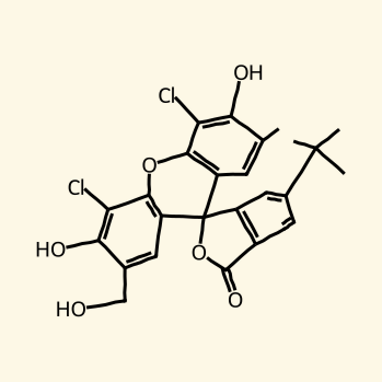 Cc1cc2c(c(Cl)c1O)Oc1c(cc(CO)c(O)c1Cl)C21OC(=O)c2ccc(C(C)(C)C)cc21